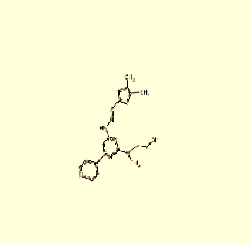 Cc1cc(/C=N/Nc2cc(-c3ccncc3)nc(N(C)CCO)n2)sc1C